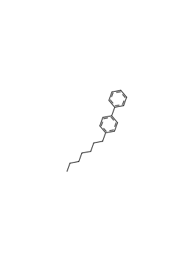 CCCCCCCc1ccc(-c2ccccc2)cc1